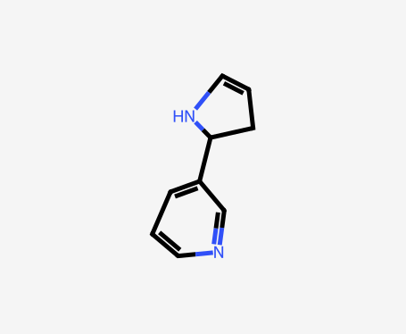 C1=CNC(c2cccnc2)C1